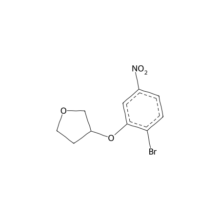 O=[N+]([O-])c1ccc(Br)c(OC2CCOC2)c1